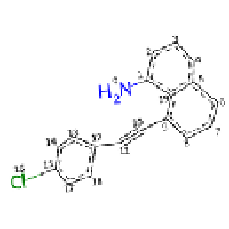 Nc1cccc2cccc(C#Cc3ccc(Cl)cc3)c12